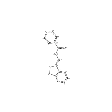 O=C(NN=C1CCc2ccccc21)c1ccccc1